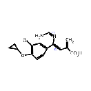 C=C(/C=C(\N=C/N)c1ccc(OC2CC2)c(Cl)c1)C(=O)O